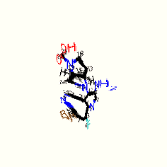 Nc1cnc2c(F)c(Br)ncc2c1N1C[C@@H]2[C@H]1CCN2C(=O)O